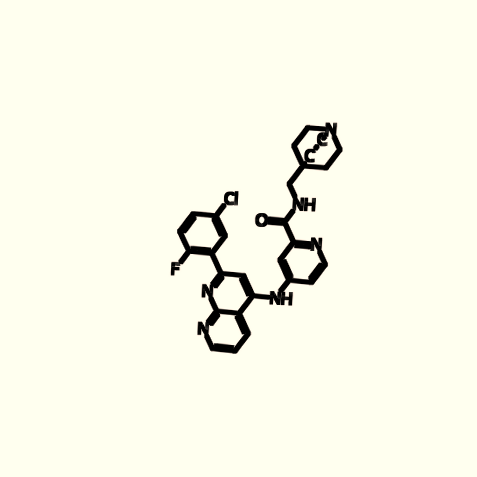 O=C(NCC12CCN(CC1)CC2)c1cc(Nc2cc(-c3cc(Cl)ccc3F)nc3ncccc23)ccn1